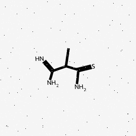 CC(C(=N)N)C(N)=S